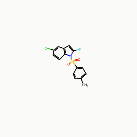 Cc1ccc(S(=O)(=O)n2c(F)cc3cc(Cl)ccc32)cc1